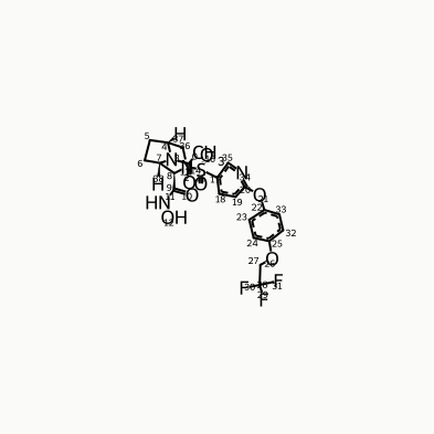 CC(=O)N1[C@@H]2CC[C@H]1[C@H](C(=O)NO)N(S(=O)(=O)c1ccc(Oc3ccc(OCC(F)(F)F)cc3)nc1)C2